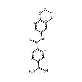 N=C(N)c1ccc(C(=O)Nc2ccc3c(c2)CC[CH]O3)cc1